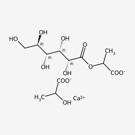 CC(O)C(=O)[O-].CC(OC(=O)[C@H](O)[C@@H](O)[C@H](O)[C@H](O)CO)C(=O)[O-].[Ca+2]